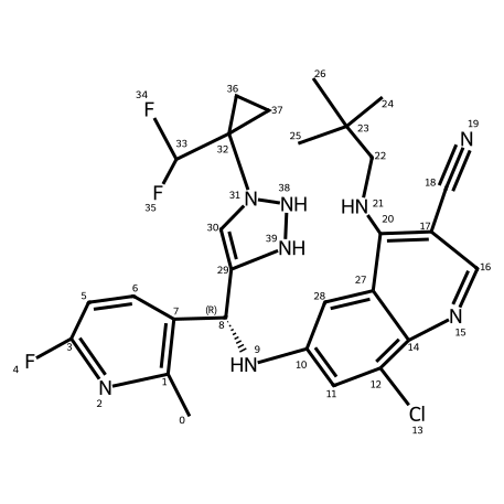 Cc1nc(F)ccc1[C@@H](Nc1cc(Cl)c2ncc(C#N)c(NCC(C)(C)C)c2c1)C1=CN(C2(C(F)F)CC2)NN1